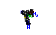 CCC(c1cccc(-c2nc(-c3ccc(N4CCNCC4)cc3)sc2-c2ccncc2)c1F)S(N)(=O)=O.Cl